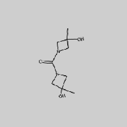 CC1(O)CN(C(=O)N2CC(C)(O)C2)C1